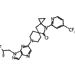 O=C1N(c2cc(C(F)(F)F)ccn2)C2(CC2)CC12CCN(c1cnc3cnn(CC(F)F)c3n1)CC2